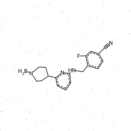 BN1CCC(c2cccc(NCc3ccc(C#N)cc3F)n2)CC1